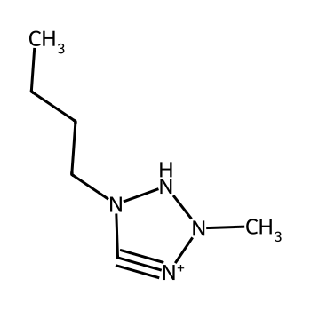 CCCCN1C#[N+]N(C)N1